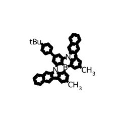 Cc1cc2c3c(c1)c1cc4ccccc4cc1n3-c1cc(-c3ccc(C(C)(C)C)cc3)cc3c1B2c1cc(C)cc2c4cc5ccccc5cc4n-3c12